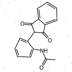 CC(=O)Nc1ccccc1C1C(=O)c2ccccc2C1=O